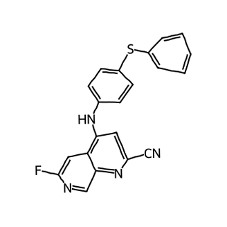 N#Cc1cc(Nc2ccc(Sc3ccccc3)cc2)c2cc(F)ncc2n1